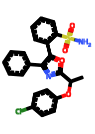 CC(Oc1ccc(Cl)cc1)c1nc(-c2ccccc2)c(-c2ccccc2S(N)(=O)=O)o1